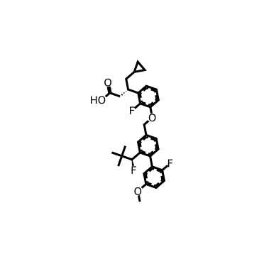 COc1ccc(F)c(-c2ccc(COc3cccc([C@H](CC(=O)O)CC4CC4)c3F)cc2[C@@H](F)C(C)(C)C)c1